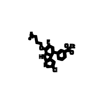 CCS(=O)(=O)c1cccc(C2=CC(F)=C(OCCCN(C)C)C3Nc4ncc(Cl)cc4C23)c1